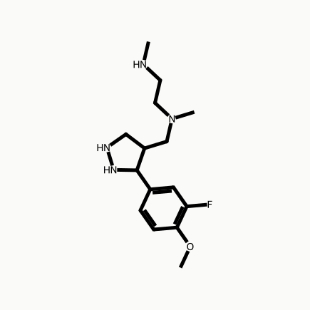 CNCCN(C)CC1CNNC1c1ccc(OC)c(F)c1